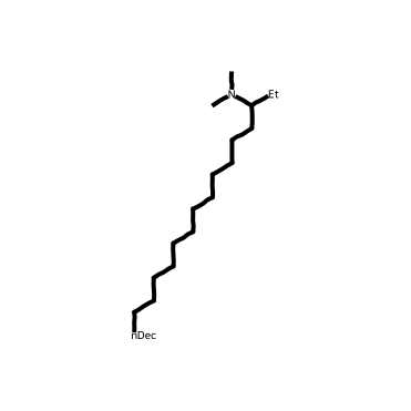 CCCCCCCCCCCCCCCCCCCCCCC(CC)N(C)C